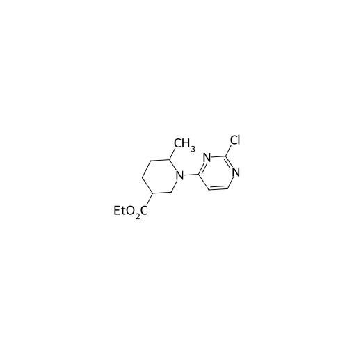 CCOC(=O)C1CCC(C)N(c2ccnc(Cl)n2)C1